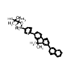 CC1(C)c2cc(-c3ccc4ccccc4c3)ccc2-c2ccc(-c3ccc(BOC(C)(C)C(C)(C)O)cn3)cc21